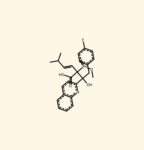 CO[PH](=O)C(C=CC(C)C)(C(=O)O)C(O)(Cc1ccc(F)cc1)c1ccc2ccccc2n1